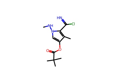 CNn1cc(OC(=O)C(C)(C)C)c(C)c1C(=N)Cl